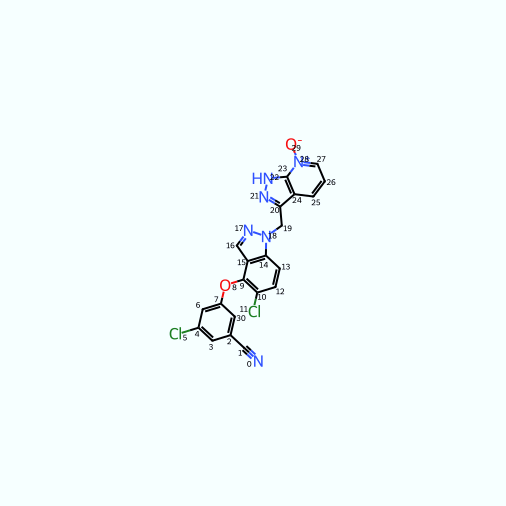 N#Cc1cc(Cl)cc(Oc2c(Cl)ccc3c2cnn3Cc2n[nH]c3c2ccc[n+]3[O-])c1